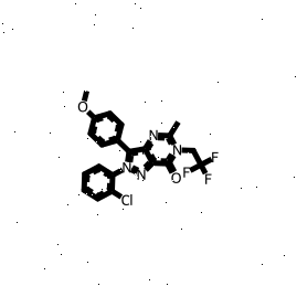 COc1ccc(-c2c3nc(C)n(CC(F)(F)F)c(=O)c3nn2-c2ccccc2Cl)cc1